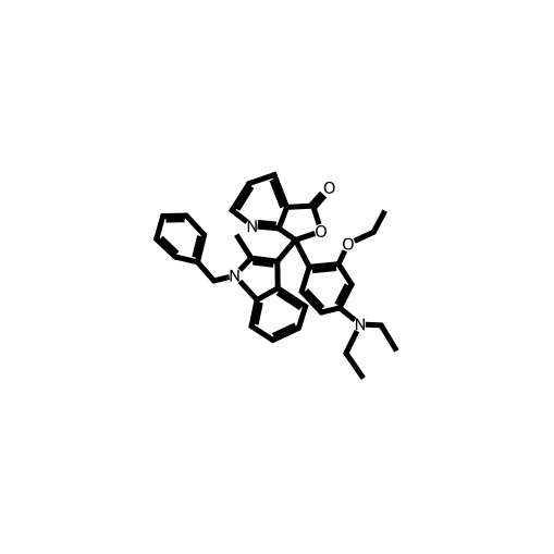 CCOc1cc(N(CC)CC)ccc1C1(c2c(C)n(Cc3ccccc3)c3ccccc23)OC(=O)c2cccnc21